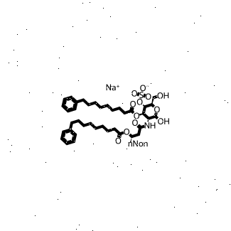 CCCCCCCCC[C@@H](CC(=O)N[C@H]1C(O)O[C@H](CO)[C@@H](OS(=O)(=O)[O-])[C@@H]1OC(=O)CCCCCCCCc1ccccc1)OC(=O)CCCCCCCCc1ccccc1.[Na+]